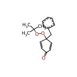 CC(C)(C)OOC1(Cc2ccccc2)C=CC(=O)C=C1